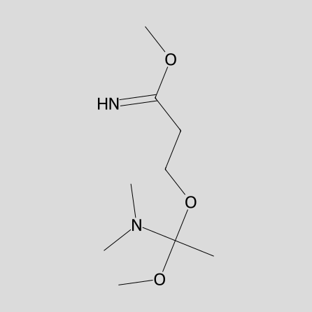 COC(=N)CCOC(C)(OC)N(C)C